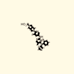 Cc1cnc(Nc2cnc(N3CC4CN(C(=O)O)CC4C3)c(F)c2)nc1N(C1=CC=CCC1=O)c1cnco1